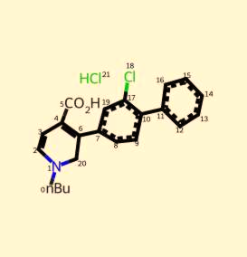 CCCCN1C=CC(C(=O)O)=C(c2ccc(-c3ccccc3)c(Cl)c2)C1.Cl